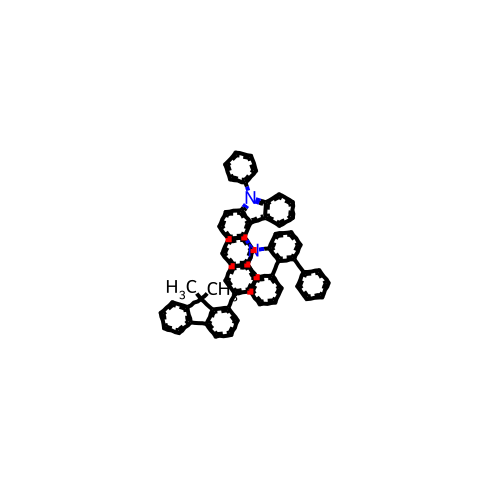 CC1(C)c2ccccc2-c2cccc(-c3ccc(N(c4cccc(-c5ccccc5)c4-c4ccccc4-c4ccccc4)c4cccc5c4c4ccccc4n5-c4ccccc4)cc3)c21